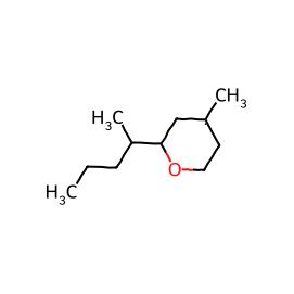 CCCC(C)C1C[C](C)CCO1